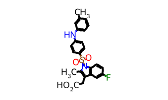 Cc1cccc(Nc2ccc(S(=O)(=O)n3c(C)c(CC(=O)O)c4cc(F)ccc43)cc2)c1